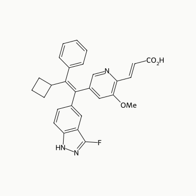 COc1cc(/C(=C(\c2ccccc2)C2CCC2)c2ccc3[nH]nc(F)c3c2)cnc1/C=C/C(=O)O